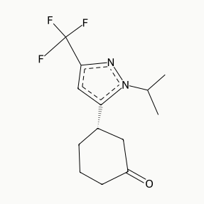 CC(C)n1nc(C(F)(F)F)cc1[C@H]1CCCC(=O)C1